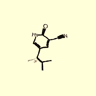 CC(C)[C@H](C)c1c[nH]c(=O)c(C#N)c1